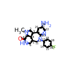 Cn1cc2c3c(c[nH]c(=O)c31)CN(c1ccc(F)cc1)c1ncc(N)cc1-2